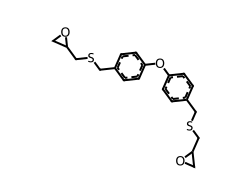 c1cc(Oc2ccc(CSCC3CO3)cc2)ccc1CSCC1CO1